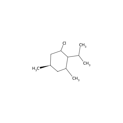 CC(C)C1C(C)C[C@@H](C)CC1Cl